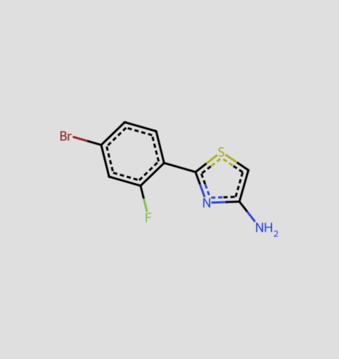 Nc1csc(-c2ccc(Br)cc2F)n1